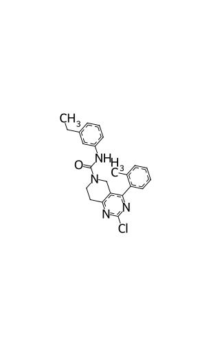 CCc1cccc(NC(=O)N2CCc3nc(Cl)nc(-c4ccccc4C)c3C2)c1